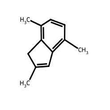 CC1=Cc2c(C)ccc(C)c2C1